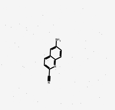 Bc1ccc2nc(C#N)ccc2c1